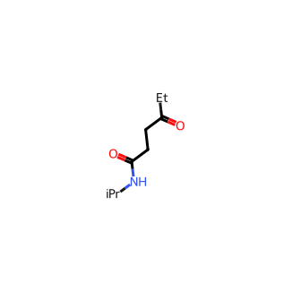 CCC(=O)CCC(=O)NC(C)C